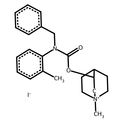 Cc1ccccc1N(Cc1ccccc1)C(=O)OC1C[N+]2(C)CCC1CC2.[I-]